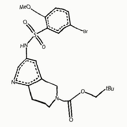 COc1ccc(Br)cc1S(=O)(=O)Nc1cnc2c(c1)CN(C(=O)OCC(C)(C)C)CC2